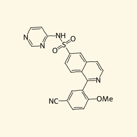 COc1ccc(C#N)cc1-c1nccc2cc(S(=O)(=O)Nc3ccncn3)ccc12